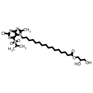 Cc1nc2nc(Cl)nc(S(=O)(=O)C(C)C)c2n1CCCCCCCCCCCCCCCC(=O)OC[C@@H](O)CO